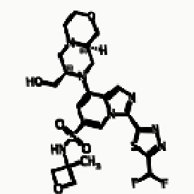 CC1(NS(=O)(=O)c2cc(N3C[C@@H]4COCCN4C[C@@H]3CO)c3cnc(-c4nnc(C(F)F)s4)n3c2)COC1